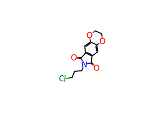 O=C1c2cc3c(cc2C(=O)N1CCCCl)OCCO3